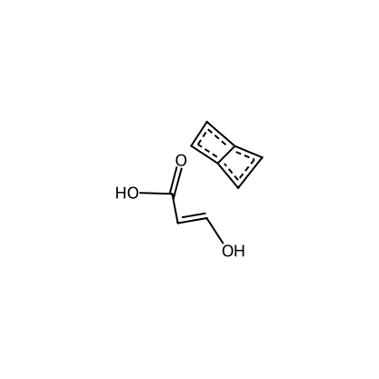 O=C(O)C=CO.c1cc2ccc1-2